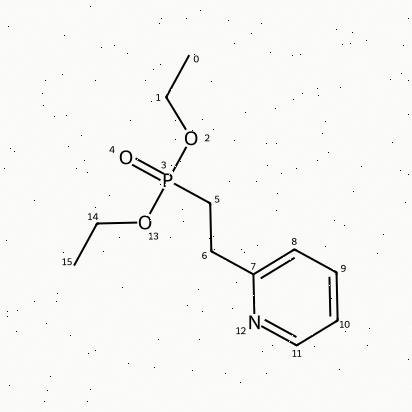 CCOP(=O)(CCc1ccccn1)OCC